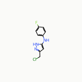 Fc1ccc(Nc2cc(CCl)n[nH]2)cc1